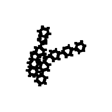 c1ccc(-c2ccc(-c3ccc(N(c4ccc(-c5ccccc5)cc4)c4cc(-c5nc6ccccc6o5)cc5sc6cc7ccccc7cc6c45)cc3)cc2)cc1